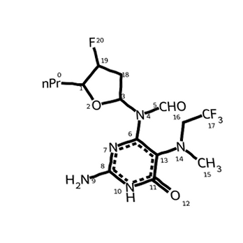 CCCC1OC(N(C=O)c2nc(N)[nH]c(=O)c2N(C)CC(F)(F)F)CC1F